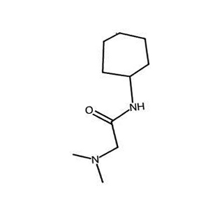 CN(C)CC(=O)NC1CC[CH]CC1